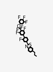 CCCc1ccc2nc(-c3ccc(-c4cc(F)c(C(F)(F)Oc5cc(F)c(F)c(F)c5)c(F)c4)c(F)c3)sc2c1